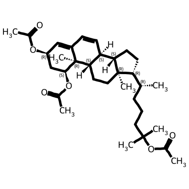 CC(=O)O[C@H]1C[C@@H](OC(C)=O)C=C2C=C[C@H]3[C@@H]4CC[C@H]([C@H](C)CCCC(C)(C)OC(C)=O)[C@@]4(C)CC[C@@H]3[C@]21C